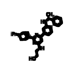 CC(C)N1CC2CC1CN2c1nc(NCCO)cc(-c2ccnc(N[C@@H](C)c3ccccc3)c2)n1